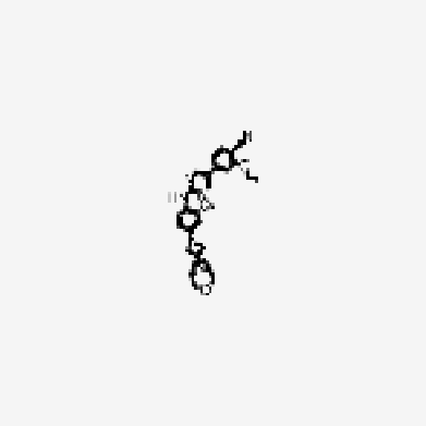 CCOc1cc(-c2cnc(Nc3ccc(N4CC(N5C6CCC5COC6)C4)cc3OC)nc2)ccc1C#N